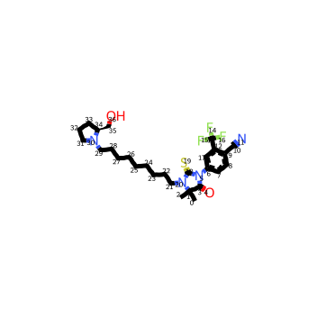 CC1(C)C(=O)N(c2ccc(C#N)c(C(F)(F)F)c2)C(=S)N1CCCCCCCCCN1CCC[C@H]1CO